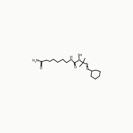 CC(C)(N=NC1CCCCC1)N(S)C(=O)NCCCCCCC(N)=O